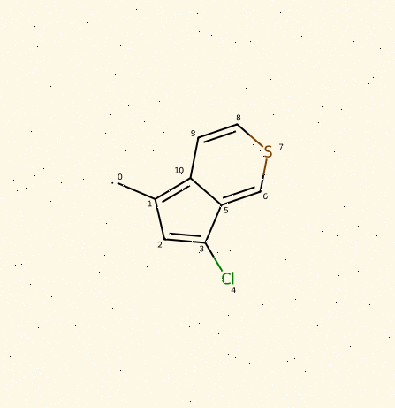 [CH2]c1cc(Cl)c2csccc1-2